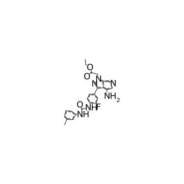 CCOC(=O)Cn1nc(-c2ccc(NC(=O)Nc3cccc(C)c3)c(F)c2)c2c(N)cncc21